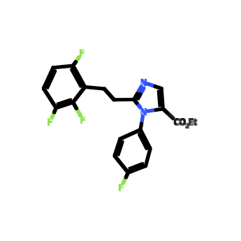 CCOC(=O)c1cnc(CCc2c(F)ccc(F)c2F)n1-c1ccc(F)cc1